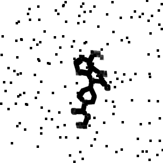 CC(C)(C)OC(=O)N1CCC(n2c(=O)[nH]c3c(N)ncnc32)CC1